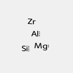 [Al].[Mg].[Si].[Zr]